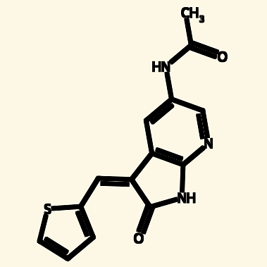 CC(=O)Nc1cnc2c(c1)C(=Cc1cccs1)C(=O)N2